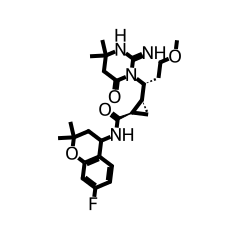 COCC[C@H]([C@@H]1C[C@H]1C(=O)NC1CC(C)(C)Oc2cc(F)ccc21)N1C(=N)NC(C)(C)CC1=O